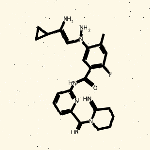 Cc1cc(F)c(C(=O)Nc2cccc(C(=N)N3CCCCC3=N)n2)cc1N(N)/C=C(\N)C1CC1